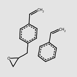 C=Cc1ccc(CC2CO2)cc1.C=Cc1ccccc1